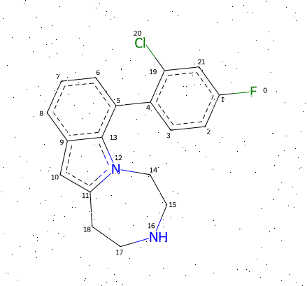 Fc1ccc(-c2cccc3cc4n(c23)CCNCC4)c(Cl)c1